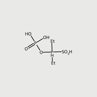 CC[PH](CC)(OP(=O)(O)O)S(=O)(=O)O